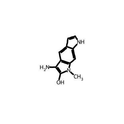 Cn1c(O)c(N)c2cc3cc[nH]c3cc21